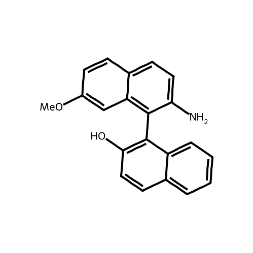 COc1ccc2ccc(N)c(-c3c(O)ccc4ccccc34)c2c1